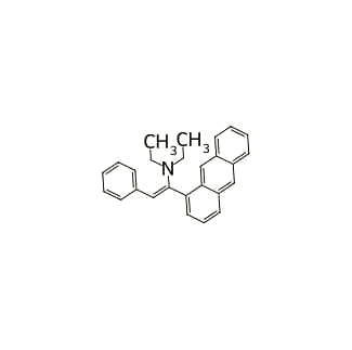 CCN(CC)C(=Cc1ccccc1)c1cccc2cc3ccccc3cc12